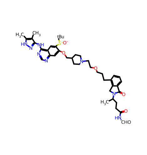 Cc1[nH]nc(Nc2ncnc3cc(OCC4CCN(CCOCCCc5cccc6c5CN(C(C)CCC(=O)NC=O)C6=O)CC4)c([S+]([O-])C(C)(C)C)cc23)c1C